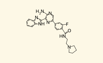 Nc1ncc(-c2ccc(C(=O)NCCN3CCCC3)c(F)c2)nc1-c1nc2ccccc2[nH]1